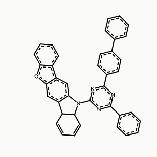 C1=CC2c3cc4oc5ccccc5c4cc3N(c3nc(-c4ccccc4)nc(-c4ccc(-c5ccccc5)cc4)n3)C2C=C1